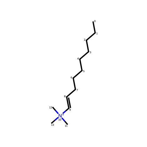 CCCCCCCCC=C[N+](C)(C)C